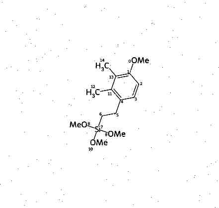 COc1ccc(CC[Si](OC)(OC)OC)c(C)c1C